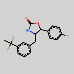 CC(F)(F)c1cccc(CC2NC(=O)OC2c2ccc(F)cc2)c1